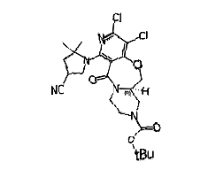 CC(C)(C)OC(=O)N1CCN2C(=O)c3c(N4CC(C#N)CC4(C)C)nc(Cl)c(Cl)c3OC[C@H]2C1